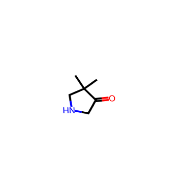 CC1(C)CNCC1=O